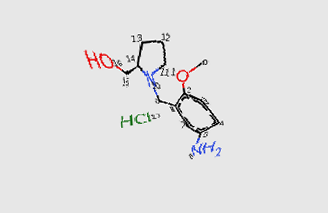 COc1ccc(N)cc1CN1CCC[C@@H]1CO.Cl